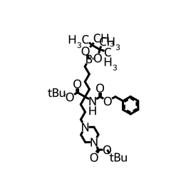 CC(C)(C)OC(=O)N1CCN(CCCC(CCCCB2OC(C)(C)C(C)(C)O2)(NC(=O)OCc2ccccc2)C(=O)OC(C)(C)C)CC1